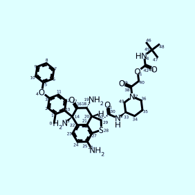 Cc1cc(Oc2ccccc2)ccc1[C@]1(N)C(=O)[C@H](N)[C@H]2c3c1ccc(N)c3S[C@H]2C(=O)N[C@@H]1CCCN(C(=O)COC(=O)NC(C)(C)C)C1